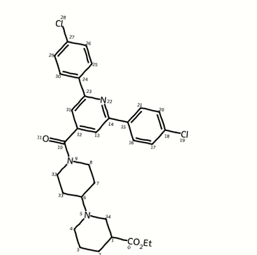 CCOC(=O)C1CCCN(C2CCN(C(=O)c3cc(-c4ccc(Cl)cc4)nc(-c4ccc(Cl)cc4)c3)CC2)C1